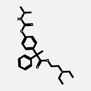 CCN(CC)CCOC(=O)C(C)(c1ccccc1)c1ccc(OC(=O)NN(C)C)cc1